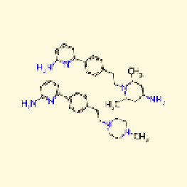 CC1CC(N)CC(C)N1CCc1ccc(-c2cccc(N)n2)cc1.CN1CCN(CCc2ccc(-c3cccc(N)n3)cc2)CC1